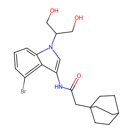 O=C(CC12CCC(CC1)CC2)Nc1cn(C(CO)CO)c2cccc(Br)c12